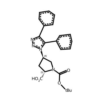 CC(C)(C)OC(=O)N1C[C@H](n2nnc(-c3ccccc3)c2-c2ccccc2)C[C@H]1C(=O)O